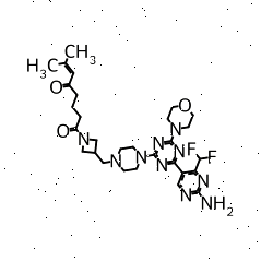 CC(C)=CC(=O)CCCC(=O)N1CC(CN2CCN(c3nc(-c4cnc(N)nc4C(F)F)nc(N4CCOCC4)n3)CC2)C1